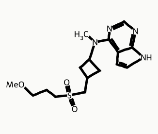 COCCCS(=O)(=O)CC1CC(N(C)c2ncnc3[nH]ccc23)C1